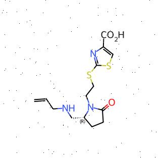 C=CCNC[C@H]1CCC(=O)N1CCSc1nc(C(=O)O)cs1